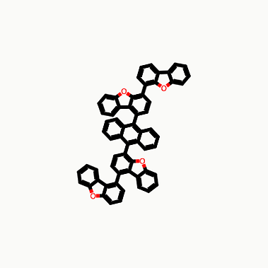 c1ccc2c(c1)oc1c(-c3ccc(-c4c5ccccc5c(-c5ccc(-c6cccc7oc8ccccc8c67)c6c5oc5ccccc56)c5ccccc45)c4c3oc3ccccc34)cccc12